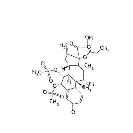 C=C1C[C@H]2[C@@H]3[C@@H](OS(C)(=O)=O)[C@@H](OS(C)(=O)=O)C4=CC(=O)C=C[C@]4(C)[C@H]3[C@@H](O)C[C@]2(C)[C@]1(OC(=O)CC)C(=O)CO